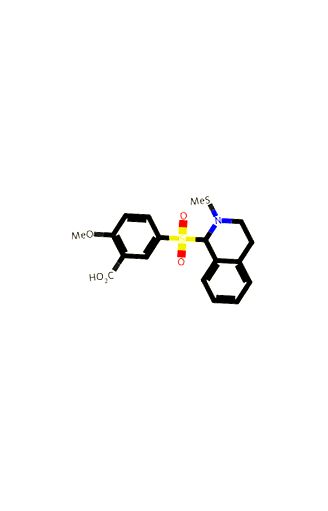 COc1ccc(S(=O)(=O)C2c3ccccc3CCN2SC)cc1C(=O)O